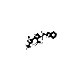 Cn1nc(C(F)(F)F)cc1-c1scc(NC(=O)c2cc3ccccc3o2)c1C(=O)O